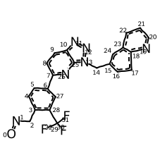 O=NCc1ccc(-c2ccc3nnn(Cc4ccc5ncccc5c4)c3n2)cc1C(F)(F)F